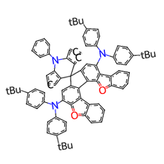 CC(C)(C)c1ccc(N(c2ccc(C(C)(C)C)cc2)c2cc3c(c4c2oc2ccccc24)-c2c(cc(N(c4ccc(C(C)(C)C)cc4)c4ccc(C(C)(C)C)cc4)c4c2oc2ccccc24)C32c3ccccc3N(c3ccccc3)c3ccccc32)cc1